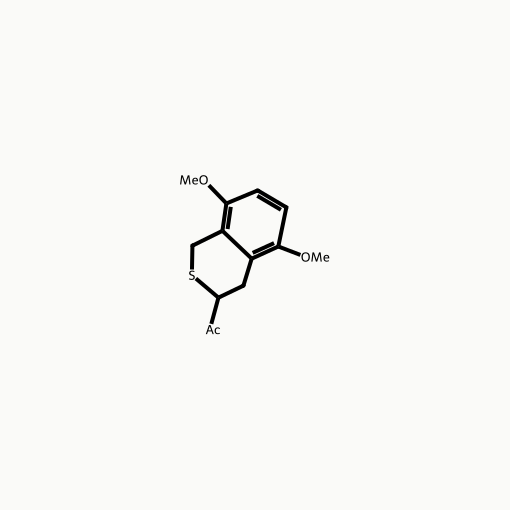 COc1ccc(OC)c2c1CSC(C(C)=O)C2